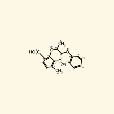 CCOc1c(C)ccc(C(=O)O)c1OC(C)COc1ccccc1